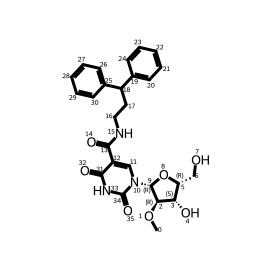 CO[C@@H]1[C@@H](O)[C@@H](CO)O[C@H]1n1cc(C(=O)NCCC(c2ccccc2)c2ccccc2)c(=O)[nH]c1=O